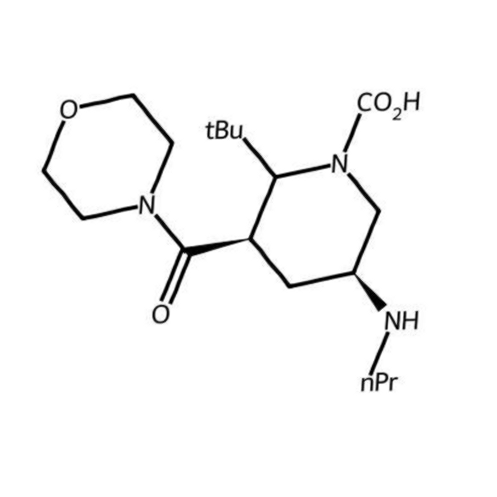 CCCN[C@H]1C[C@@H](C(=O)N2CCOCC2)C(C(C)(C)C)N(C(=O)O)C1